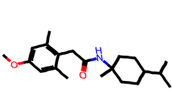 COc1cc(C)c(CC(=O)NC2(C)CCC(C(C)C)CC2)c(C)c1